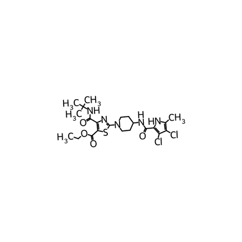 CCOC(=O)c1sc(N2CCC(NC(=O)c3[nH]c(C)c(Cl)c3Cl)CC2)nc1C(=O)NC(C)(C)C